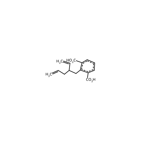 C=CCC(C=C)Cc1c(C(=O)O)cccc1C(=O)O